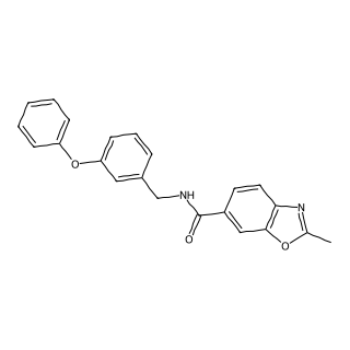 Cc1nc2ccc(C(=O)NCc3cccc(Oc4ccccc4)c3)cc2o1